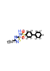 CC(C)(C)c1nsc(NS(=O)(=O)c2ccc(-c3ccccc3)cc2)n1